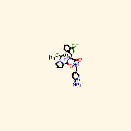 CC(C)N1CCC[C@@H]1C(=O)N[C@@H](Cc1ccccc1C(F)(F)F)C(=O)NCc1ccc(N)nc1